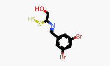 OCC(N=Cc1cc(Br)cc(Br)c1)SS